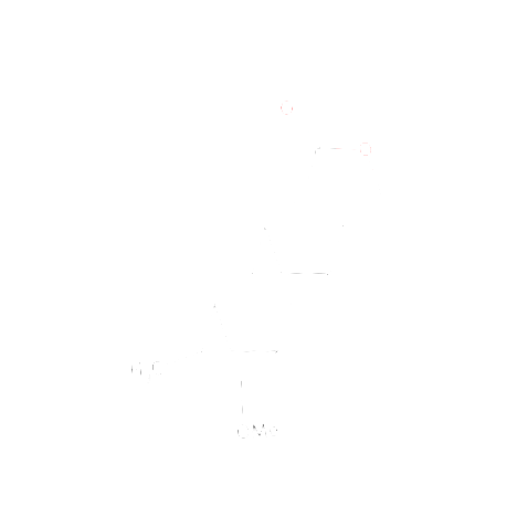 COC1C(C)C2CC1C1C3CC(C4C(=O)OCC34)C21